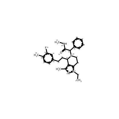 CCn1nc(C)c2c1CCN(C(C(=O)NC)c1ccccc1)C2CCc1ccc(C)c(F)c1